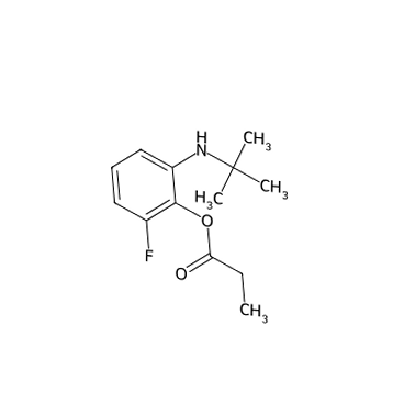 CCC(=O)Oc1c(F)cccc1NC(C)(C)C